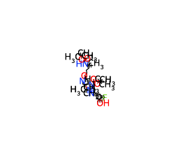 C[C@@H](CCCOc1cc(N(C(=O)OC(C)(C)C)c2cc([C@H]3C[C@@H](F)[C@@H](O)C3)nn2C(C)(C)C)ccn1)NC(=O)OC(C)(C)C